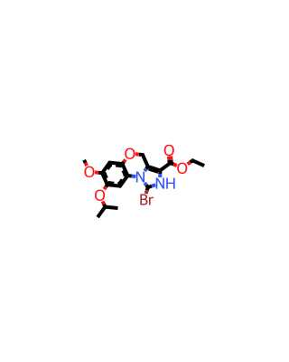 CCOC(=O)C1=C2COc3cc(OC)c(OC(C)C)cc3N2C(Br)N1